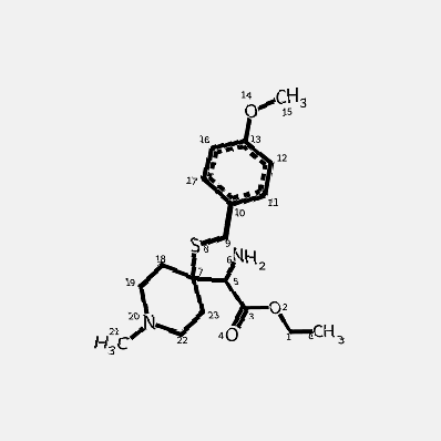 CCOC(=O)C(N)C1(SCc2ccc(OC)cc2)CCN(C)CC1